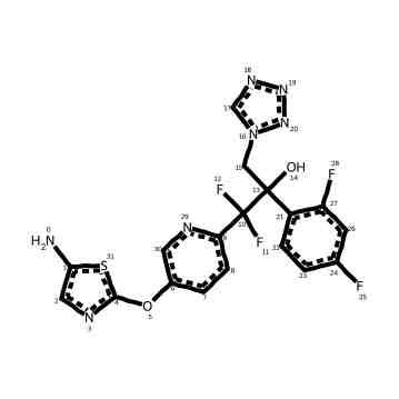 Nc1cnc(Oc2ccc(C(F)(F)C(O)(Cn3cnnn3)c3ccc(F)cc3F)nc2)s1